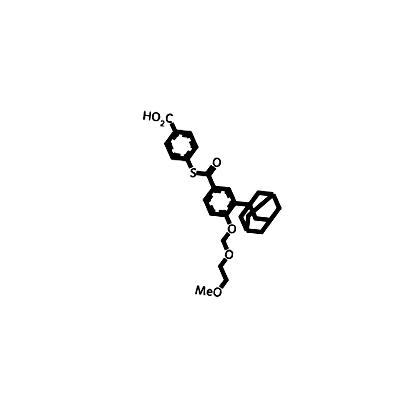 COCCOCOc1ccc(C(=O)Sc2ccc(C(=O)O)cc2)cc1C12CC3CC(CC(C3)C1)C2